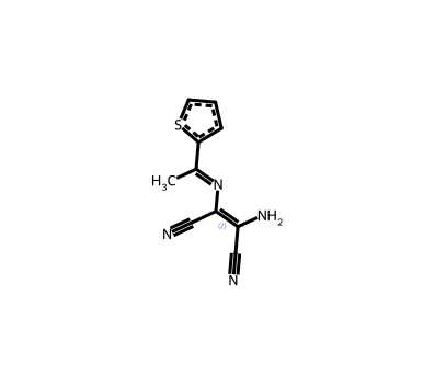 CC(=N/C(C#N)=C(\N)C#N)c1cccs1